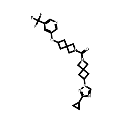 O=C(N1CC2(CC(Oc3cncc(C(F)(F)F)c3)C2)C1)N1CC2(CC(n3cnc(C4CC4)n3)C2)C1